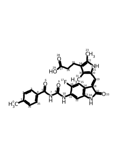 Cc1ccc(C(=O)NC(=O)Nc2cc3c(cc2F)C(=Cc2[nH]c(C)c(CCC(=O)O)c2C)C(=O)N3)cc1